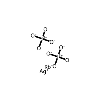 [Ag+].[O-][I+3]([O-])([O-])[O-].[O-][I+3]([O-])([O-])[O-].[Rb+]